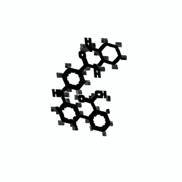 CC(=O)c1ccccc1-c1cc(Nc2ccc(C(=O)NC3CCCCC3N)cc2)ncn1